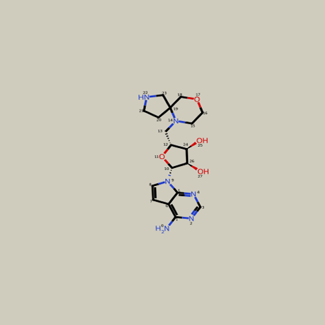 Nc1ncnc2c1ccn2[C@@H]1O[C@H](CN2CCOCC23CCNC3)[C@@H](O)[C@H]1O